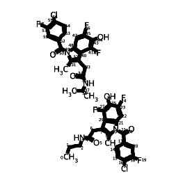 CCCNC(=O)Cc1c(C)n(C(=O)c2ccc(Cl)c(F)c2)c2cc(F)c(O)c(F)c12.Cc1c(CC(=O)NC(C)C)c2c(F)c(O)c(F)cc2n1C(=O)c1ccc(Cl)c(F)c1